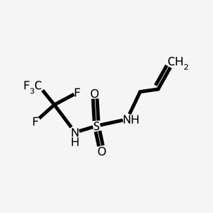 C=CCNS(=O)(=O)NC(F)(F)C(F)(F)F